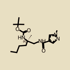 CCCC[C@](C)(CNC(=O)c1cnn(C)c1)NC(=O)OC(C)(C)C